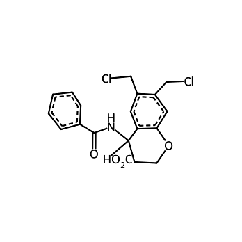 O=C(NC1(C(=O)O)CCOc2cc(CCl)c(CCl)cc21)c1ccccc1